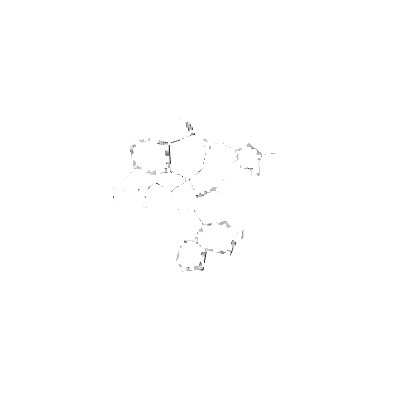 CCNC[C@@H]1CN(c2cncc3ccccc23)C(=O)[C@]12CN(Cc1cc(C)no1)C(=O)c1ccc(Cl)cc12